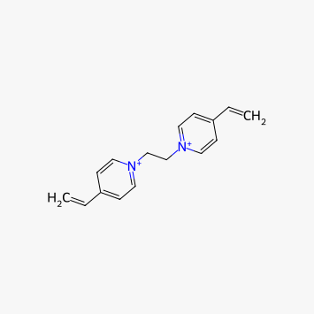 C=Cc1cc[n+](CC[n+]2ccc(C=C)cc2)cc1